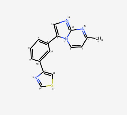 Cc1ccn2c(-c3cccc(-c4cscn4)c3)cnc2n1